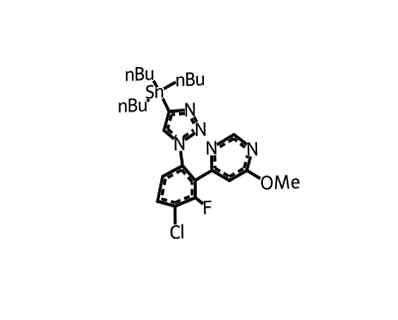 CCC[CH2][Sn]([CH2]CCC)([CH2]CCC)[c]1cn(-c2ccc(Cl)c(F)c2-c2cc(OC)ncn2)nn1